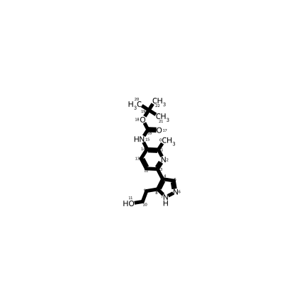 Cc1nc(-c2cn[nH]c2CCO)ccc1NC(=O)OC(C)(C)C